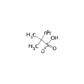 [CH2]CCC(C)(C)S(=O)(=O)O